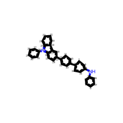 c1ccc(Nc2ccc(-c3ccc(-c4ccc5c(c4)c4ccccc4n5-c4ccccc4)cc3)cc2)cc1